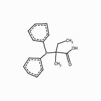 CCC(C)(C(=O)O)P(c1ccccc1)c1ccccc1